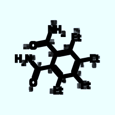 CCc1c(CC)c(CC)c(C(N)=O)c(C(N)=O)c1CC